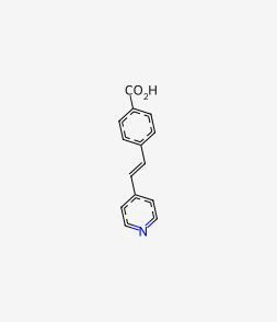 O=C(O)c1ccc(C=Cc2ccncc2)cc1